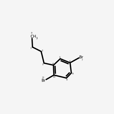 CCCCc1cc(Br)ccc1Br